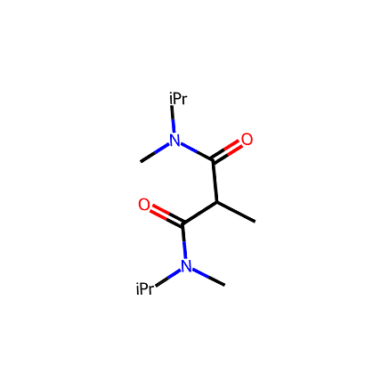 CC(C(=O)N(C)C(C)C)C(=O)N(C)C(C)C